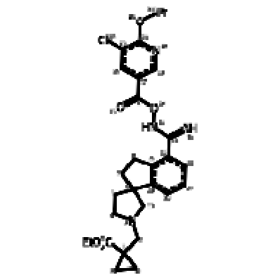 CCOC(=O)C1(CN2CCC3(CCc4c(C(=N)NOC(=O)c5cnc(OC(C)C)c(Cl)c5)cccc43)C2)CC1